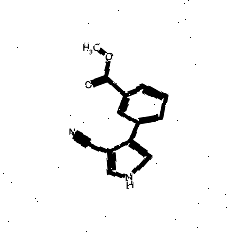 COC(=O)c1cccc(-c2c[nH]cc2C#N)c1